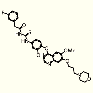 COc1cc2c(Oc3ccc(NC(=S)NC(=O)Cc4cccc(F)c4)cc3O)ccnc2cc1OCCCN1CCOCC1